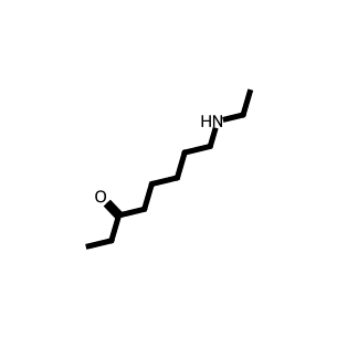 CCNCCCCCC(=O)CC